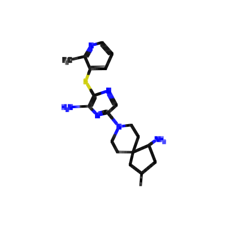 CC1CC(N)C2(CCN(c3cnc(Sc4cccnc4C(F)(F)F)c(N)n3)CC2)C1